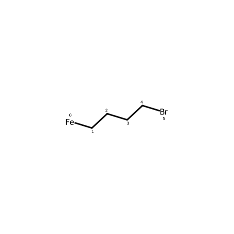 [Fe][CH2]CCCBr